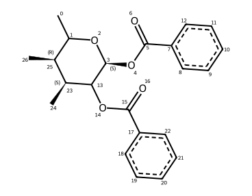 CC1O[C@@H](OC(=O)c2ccccc2)C(OC(=O)c2ccccc2)[C@@H](C)[C@H]1C